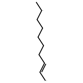 [CH2]C=CCCCCC[CH]C